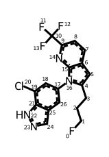 FCCCc1cc2ccc(C(F)(F)F)nc2n1-c1cc(Cl)c2[nH]ncc2c1